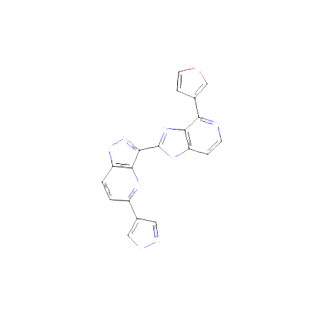 c1cc2[nH]c(-c3n[nH]c4ccc(-c5cn[nH]c5)nc34)nc2c(-c2ccoc2)n1